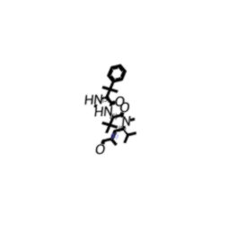 CN[C@H](C(=O)N[C@H](C(=O)N(C)[C@H](/C=C(\C)C=O)C(C)C)C(C)(C)C)C(C)(C)c1ccccc1